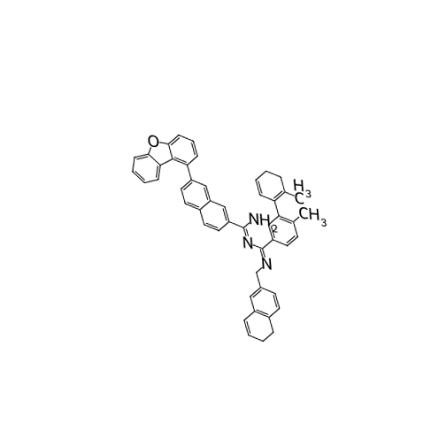 CC1=C(c2cc(C(/N=C(\N)c3ccc4ccc(-c5cccc6oc7ccccc7c56)cc4c3)=N/Cc3ccc4c(c3)C=CCC4)ccc2C)C=CCC1